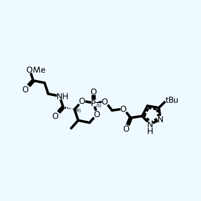 COC(=O)CCNC(=O)[C@@H]1O[P@@](=O)(OCOC(=O)c2cc(C(C)(C)C)n[nH]2)OCC1C